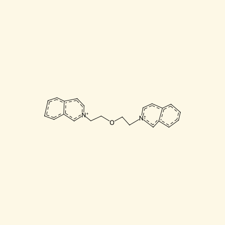 c1ccc2c[n+](CCOCC[n+]3ccc4ccccc4c3)ccc2c1